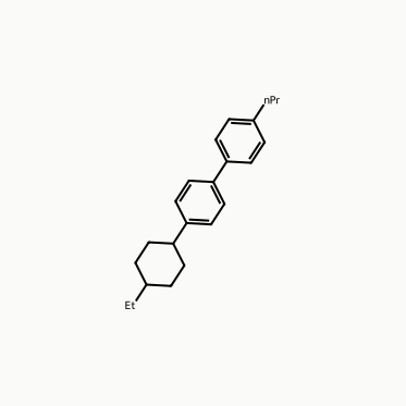 CCCc1ccc(-c2ccc(C3CCC(CC)CC3)cc2)cc1